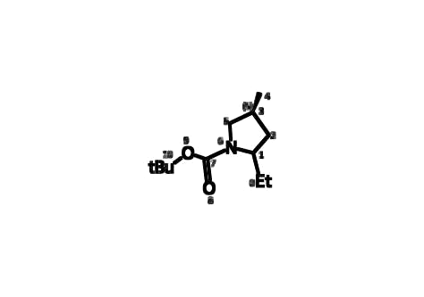 CCC1C[C@H](C)CN1C(=O)OC(C)(C)C